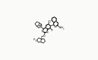 Nc1cc2ccccc2c(-c2c(Cl)cc3c(N4CC5CCC(C4)N5)nc(OC[C@@]45CCCN4C[C@H](F)C5)nc3c2F)n1